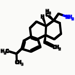 C=C[C@]12CCC[C@@](C)(CN)[C@@H]1CCc1cc(C(C)C)ccc12